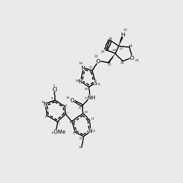 COc1cnc(Cl)cc1-c1cc(C)ncc1C(=O)Nc1nnc(OC[C@@]23C#C[C@@H]2COC3)s1